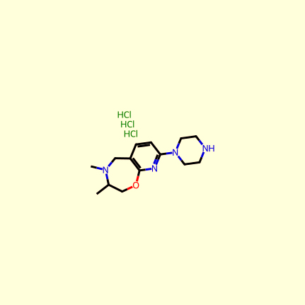 CC1COc2nc(N3CCNCC3)ccc2CN1C.Cl.Cl.Cl